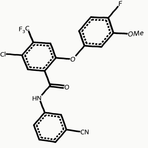 COc1cc(Oc2cc(C(F)(F)F)c(Cl)cc2C(=O)Nc2cccc(C#N)c2)ccc1F